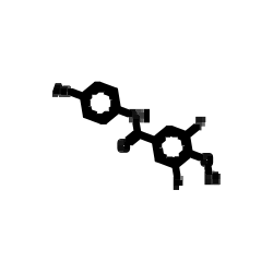 CCOc1c(F)cc(C(=O)Nc2ccc(C(C)=O)cc2)cc1F